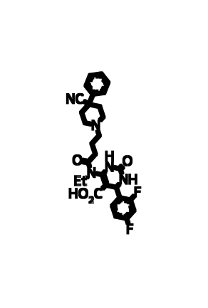 CCN(C(=O)CCCN1CCC(C#N)(c2ccccc2)CC1)C1=C(C(=O)O)C(c2ccc(F)cc2F)NC(=O)N1